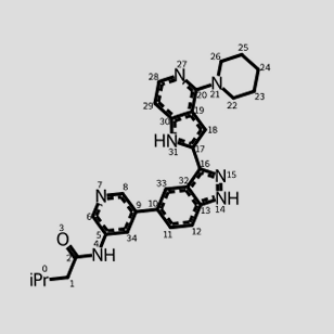 CC(C)CC(=O)Nc1cncc(-c2ccc3[nH]nc(-c4cc5c(N6CCCCC6)nccc5[nH]4)c3c2)c1